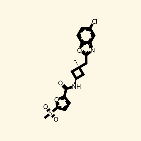 CS(=O)(=O)c1ccc(C(=O)N[C@H]2C[C@@](C)(Cc3nc4cc(Cl)ccc4o3)C2)o1